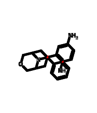 Nc1ccc(N)c(C2CC3COCC(C2)N3Cc2ccccc2)c1